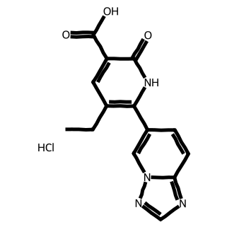 CCc1cc(C(=O)O)c(=O)[nH]c1-c1ccc2ncnn2c1.Cl